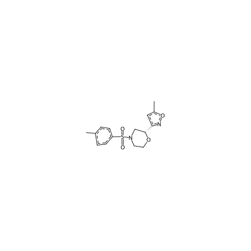 Cc1ccc(S(=O)(=O)N2CCO[C@@H](c3cc(C)on3)C2)cc1